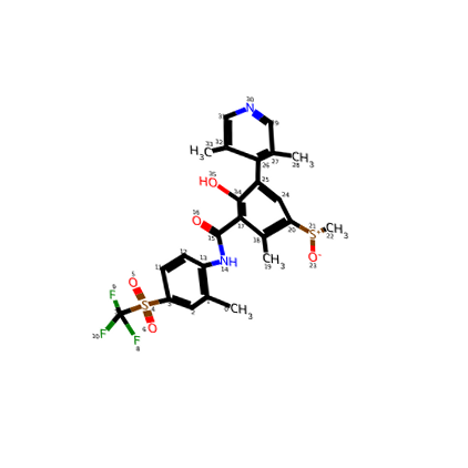 Cc1cc(S(=O)(=O)C(F)(F)F)ccc1NC(=O)c1c(C)c([S+](C)[O-])cc(-c2c(C)cncc2C)c1O